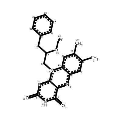 Cc1cc2nc3c(=O)[nH]c(=O)nc-3n(CC(Cc3ccccc3)OC(C)C)c2cc1C